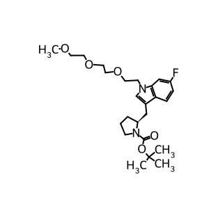 COCCOCCOCCn1cc(C[C@@H]2CCCN2C(=O)OC(C)(C)C)c2ccc(F)cc21